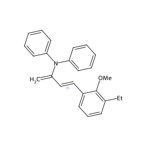 C=C(/C=C/c1cccc(CC)c1OC)N(c1ccccc1)c1ccccc1